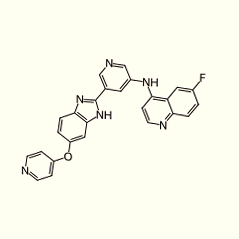 Fc1ccc2nccc(Nc3cncc(-c4nc5ccc(Oc6ccncc6)cc5[nH]4)c3)c2c1